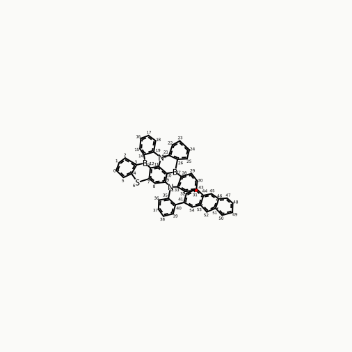 c1ccc2c(c1)Sc1cc3c4c5c1B2c1ccccc1N5c1ccccc1B4c1ccccc1N3c1ccccc1-c1ccc2cc3ccccc3cc2c1